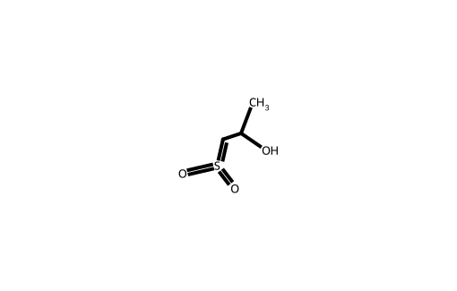 CC(O)C=S(=O)=O